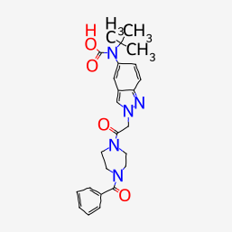 CC(C)(C)N(C(=O)O)c1ccc2nn(CC(=O)N3CCN(C(=O)c4ccccc4)CC3)cc2c1